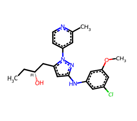 CC[C@@H](O)Cc1cc(Nc2cc(Cl)cc(OC)c2)nn1-c1ccnc(C)c1